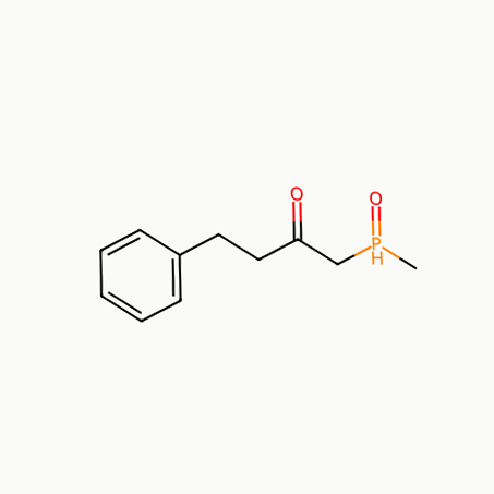 C[PH](=O)CC(=O)CCc1ccccc1